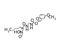 CCCCC[C@H](CN(O)C=O)C(=O)NCNC(=O)Oc1cc2cc(OC)ccc2o1